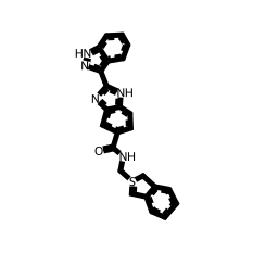 O=C(NCS1=Cc2ccccc2C1)c1ccc2[nH]c(-c3n[nH]c4ccccc34)nc2c1